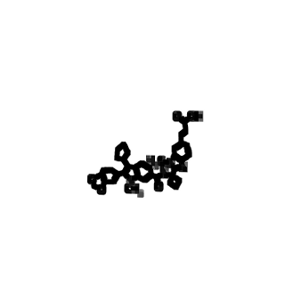 Cn1c(C2(NC(=O)c3ccc4c(C5CCCC5)c(-c5ccc6c(c5)OCO6)n(C)c4c3)CCC2)nc2ccc(/C=C/C(=O)O)cc21